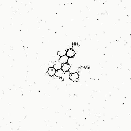 COC[C@@H]1COCCN1c1nc(-c2cnc(N)cc2C(F)F)nc(N2[C@H](C)COC[C@@H]2C)n1